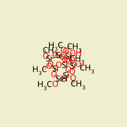 CO[SiH]1O[Si]2(OC)O[Si]3(OC)O[Si](O)(OC)O[Si]4(OC)O[Si](OC)(O1)O[Si](OC)(O2)O[Si](OC)(O3)O4